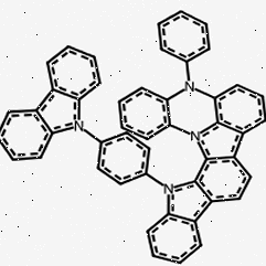 c1ccc(N2c3ccccc3-n3c4c2cccc4c2ccc4c5ccccc5n(-c5ccc(-n6c7ccccc7c7ccccc76)cc5)c4c23)cc1